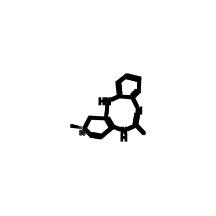 Cc1nc2ccccc2[nH]c2c([nH]1)C=C[C@H](C)C2